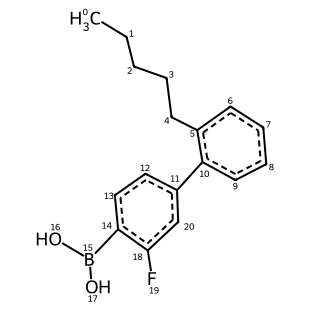 CCCCCc1ccccc1-c1ccc(B(O)O)c(F)c1